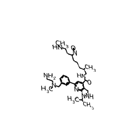 CNCCC(CCCC(C)CNC(=O)c1cc(-c2cccc(CN(C)CCN)c2)nc2c1CNN2C(C)C)N=O